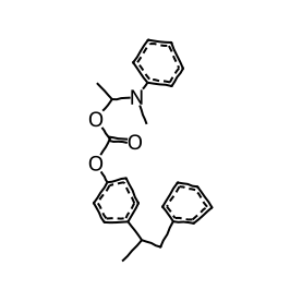 CC(Cc1ccccc1)c1ccc(OC(=O)OC(C)N(C)c2ccccc2)cc1